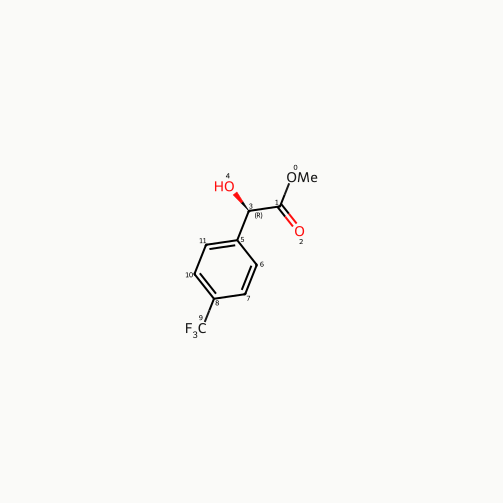 COC(=O)[C@H](O)c1ccc(C(F)(F)F)cc1